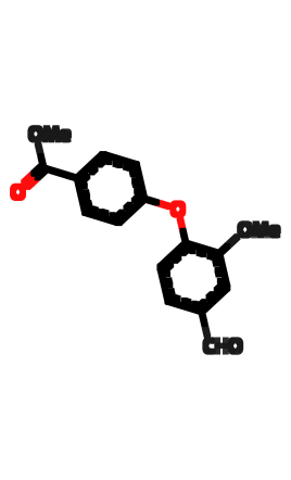 COC(=O)c1ccc(Oc2ccc(C=O)cc2OC)cc1